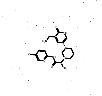 CC(C(=O)Nc1ccc(Cl)cn1)N1CCC[C@@H](c2c[nH]c(=O)c(CN)c2)C1